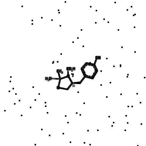 CC1(C)OC[C@H](Cc2ccc(O)cc2)N1C(=O)O